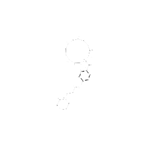 c1cc(OCCCN2CCCCC2)ccc1CN1CCCCCCCCCCCC1